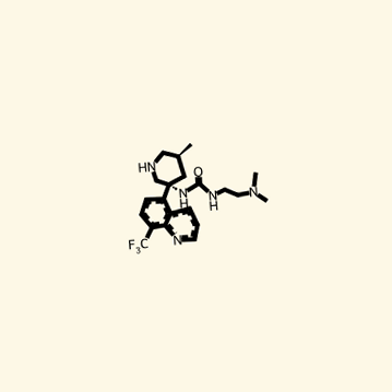 C[C@@H]1CNC[C@](NC(=O)NCCN(C)C)(c2ccc(C(F)(F)F)c3ncccc23)C1